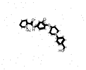 CC(=O)N1CCCCC1C(=O)Nc1ccc(OC2CCN(c3ccc(CO)cc3)CC2)c(Cl)c1